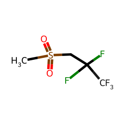 CS(=O)(=O)CC(F)(F)C(F)(F)F